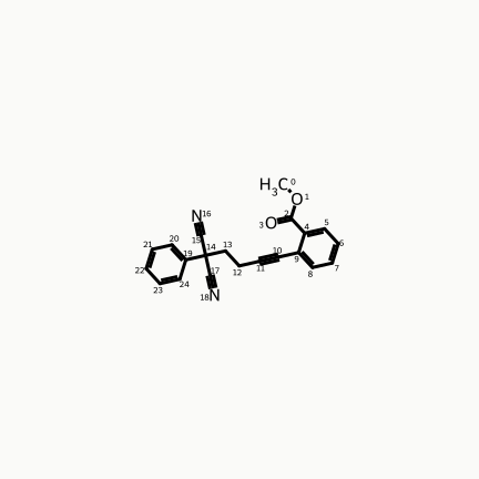 COC(=O)c1ccccc1C#CCCC(C#N)(C#N)c1ccccc1